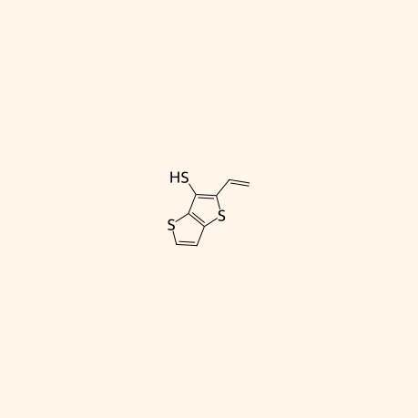 C=Cc1sc2ccsc2c1S